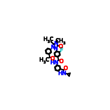 CCc1nn(-c2cc(OC(C)c3ccccc3)c(C(=O)Nc3cccc(C(=O)NC4CC4)c3)cc2F)c(=O)n1C